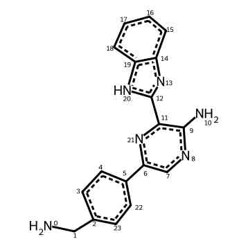 NCc1ccc(-c2cnc(N)c(-c3nc4ccccc4[nH]3)n2)cc1